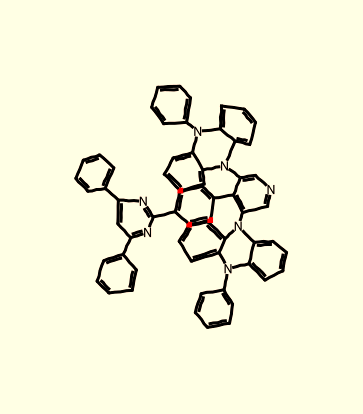 c1ccc(-c2cc(-c3ccccc3)nc(-c3ccc(-c4c(N5c6ccccc6N(c6ccccc6)c6ccccc65)cncc4N4c5ccccc5N(c5ccccc5)c5ccccc54)cc3)n2)cc1